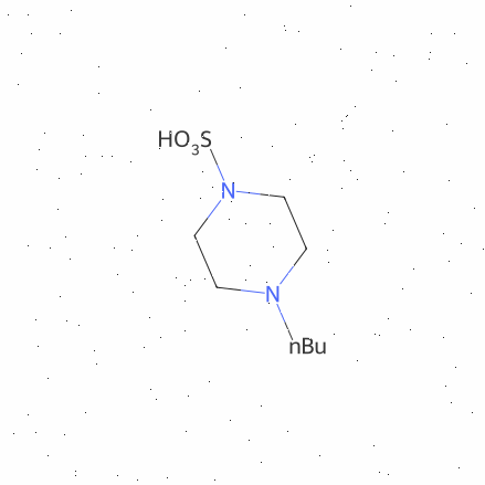 CCCCN1CCN(S(=O)(=O)O)CC1